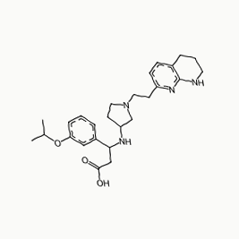 CC(C)Oc1cccc(C(CC(=O)O)NC2CCN(CCc3ccc4c(n3)NCCC4)C2)c1